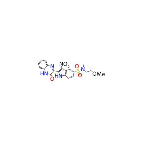 COCCN(C)S(=O)(=O)c1ccc2[nH]c(-c3nc4ccccc4[nH]c3=O)c([N+](=O)[O-])c2c1